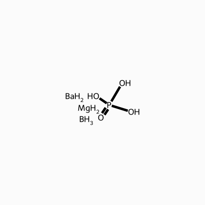 B.O=P(O)(O)O.[BaH2].[MgH2]